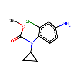 CC(C)(C)OC(=O)N(c1ccc(N)cc1Cl)C1CC1